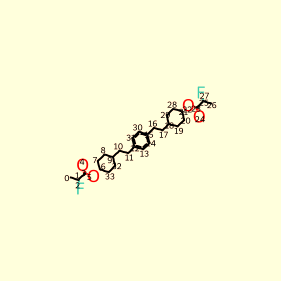 CC(F)C(=O)OC1CCC(CCc2ccc(CCC3CCC(OC(=O)C(C)F)CC3)cc2)CC1